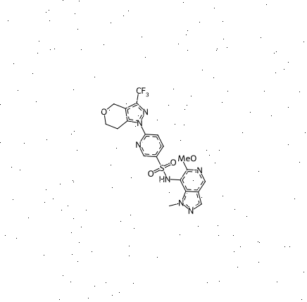 COc1ncc2cnn(C)c2c1NS(=O)(=O)c1ccc(-n2nc(C(F)(F)F)c3c2CCOC3)nc1